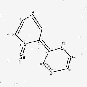 [Se]=S1C=CC=CC1=C1C=CC=CS1